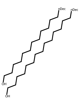 CCCCCCCCCCCCCCCCCCCCCCCCO.CCCCCCCCCCCCCCCCCCCCCCO